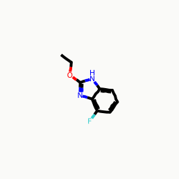 CCOc1nc2c(F)cccc2[nH]1